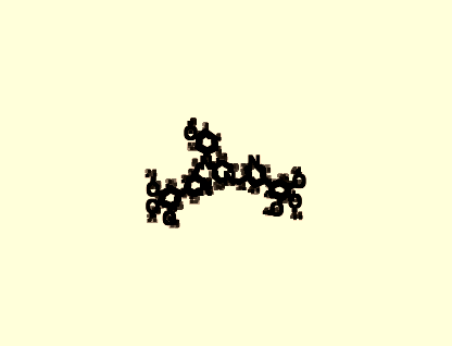 COc1cccc(N(Cc2cncc(-c3cc(OC)c(OC)c(OC)c3)c2)C2CCN(Cc3cncc(-c4cc(OC)c(OC)c(OC)c4)c3)CC2)c1